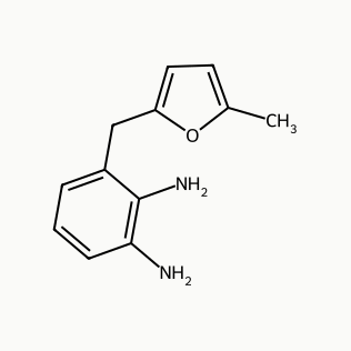 Cc1ccc(Cc2cccc(N)c2N)o1